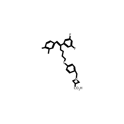 Cc1ccc(/C=C(\CCCCSc2ccc(CN3CC(C(=O)O)C3)cc2)c2cc(F)cc(F)c2)cc1C